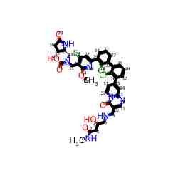 CNC(=O)CC(O)CNCc1cnc2cc(-c3cccc(-c4cccc(-c5cc(F)c(CN(C[C@@H]6CCC(=O)N6)C(=O)O)c(OC)n5)c4Cl)c3Cl)ccn2c1=O